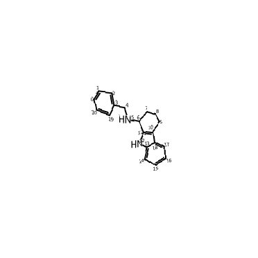 c1ccc(CNC2CCCc3c2[nH]c2ccccc32)cc1